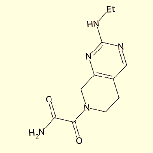 CCNc1ncc2c(n1)CN(C(=O)C(N)=O)CC2